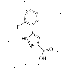 O=C(O)c1cc(-c2ccccc2F)[nH]n1